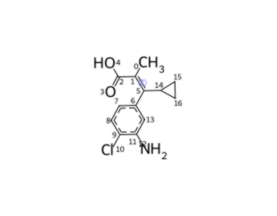 C/C(C(=O)O)=C(/c1ccc(Cl)c(N)c1)C1CC1